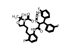 CC1(C)OCC(CCc2c(F)cccc2NC(=O)C(N=[N+]=N)C(c2cccc(F)c2)c2cccc(F)c2)N1C(=O)[O-]